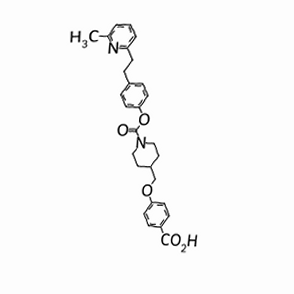 Cc1cccc(CCc2ccc(OC(=O)N3CCC(COc4ccc(C(=O)O)cc4)CC3)cc2)n1